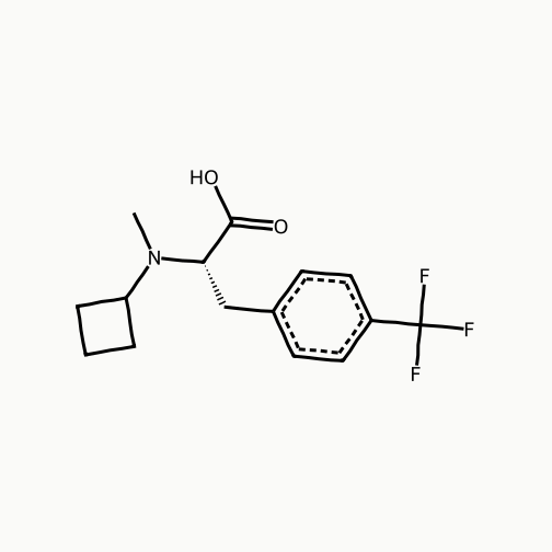 CN(C1CCC1)[C@@H](Cc1ccc(C(F)(F)F)cc1)C(=O)O